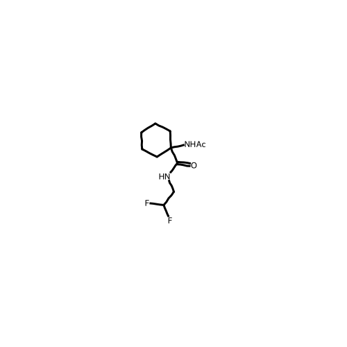 CC(=O)NC1(C(=O)NCC(F)F)CCCCC1